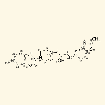 Cc1nc2cc(OC[C@H](O)CN3CCN(N(C=S)Cc4ccc(F)cc4)CC3)ccc2s1